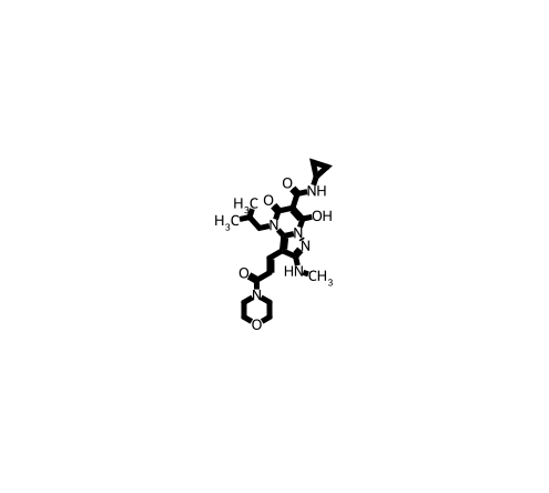 CNc1nn2c(O)c(C(=O)NC3CC3)c(=O)n(CC(C)C)c2c1C=CC(=O)N1CCOCC1